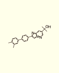 Cc1ccc(-c2ccc(-c3cn4ncc(C(C)(C)O)cc4n3)cc2)cc1C